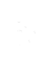 CCCCCCC[N+](C)(C)C.CCCCCCC[N+](C)(C)C.CCCCCCC[N+](C)(C)C.O=P([O-])([O-])[O-]